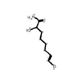 CC/C=C/CCCCC(O)C(N)=O